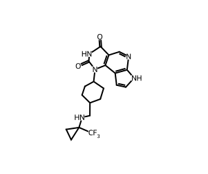 O=c1[nH]c(=O)n(C2CCC(CNC3(C(F)(F)F)CC3)CC2)c2c1cnc1[nH]ccc12